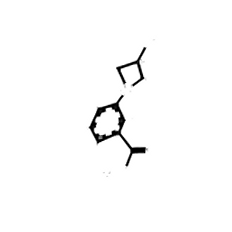 COC(=O)c1cccc(N2CC(O)C2)c1